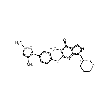 Cc1nc(C)c(-c2ccc(Oc3nc4c(cnn4[C@@H]4CCCOC4)c(=O)n3C)cc2)o1